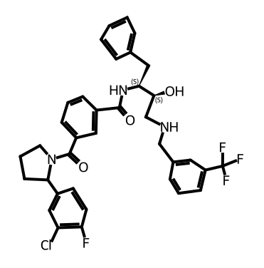 O=C(N[C@@H](Cc1ccccc1)[C@@H](O)CNCc1cccc(C(F)(F)F)c1)c1cccc(C(=O)N2CCCC2c2ccc(F)c(Cl)c2)c1